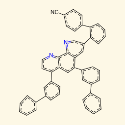 N#Cc1ccc(-c2ccccc2-c2cnc3c(c2)c(-c2cccc(-c4ccccc4)c2)cc2c(-c4cccc(-c5ccccc5)c4)ccnc23)cc1